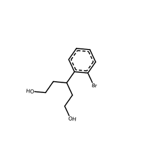 OCCC(CCO)c1ccccc1Br